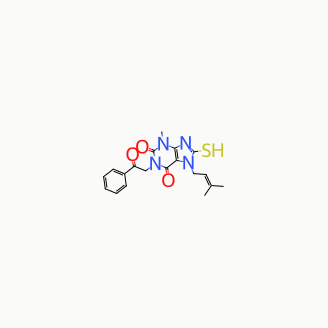 CC(C)=CCn1c(S)nc2c1c(=O)n(CC(=O)c1ccccc1)c(=O)n2C